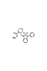 CC(C)(C)OC(=O)N1CCOCC1CN1c2ccccc2N(c2ccccc2)S1(=O)=O